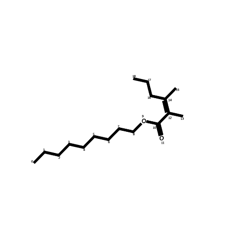 CCCCCCCCCOC(=O)C(C)=C(C)CCC